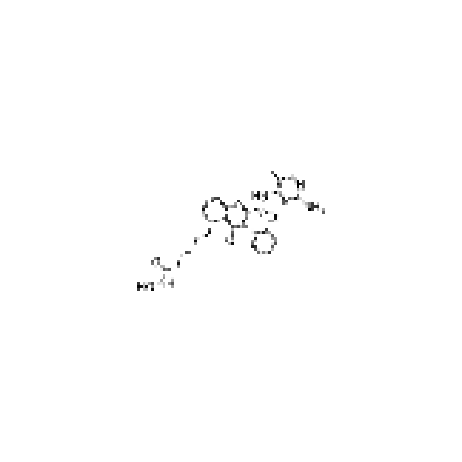 CC[C@H](Nc1nc(N)ncc1C)c1nc2cccc(CCCCCC(=O)NO)c2c(=O)n1-c1ccccc1